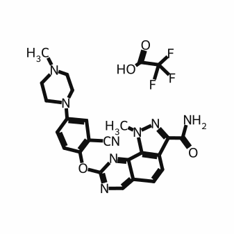 CN1CCN(c2ccc(Oc3ncc4ccc5c(C(N)=O)nn(C)c5c4n3)c(C#N)c2)CC1.O=C(O)C(F)(F)F